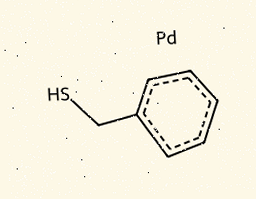 SCc1ccccc1.[Pd]